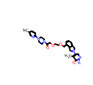 Cc1c(N2Cc3cccc(COCCOCC(=O)N4CCN(c5ccc(C#N)cn5)CC4)c3C2)cn[nH]c1=O